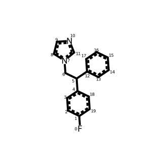 Fc1ccc(C(Cn2ccnc2)c2ccccc2)cc1